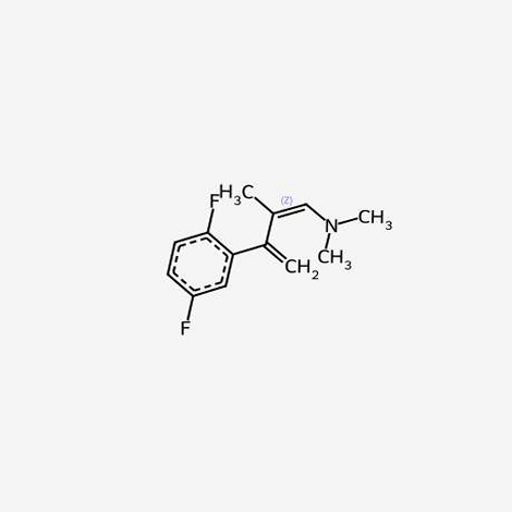 C=C(/C(C)=C\N(C)C)c1cc(F)ccc1F